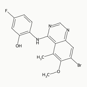 COc1c(Br)cc2ncnc(Nc3ccc(F)cc3O)c2c1C